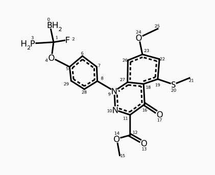 BC(F)(P)Oc1ccc(-n2nc(C(=O)OC)c(=O)c3c(SC)cc(OC)cc32)cc1